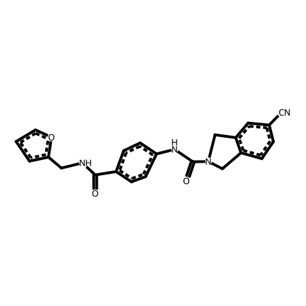 N#Cc1ccc2c(c1)CN(C(=O)Nc1ccc(C(=O)NCc3ccco3)cc1)C2